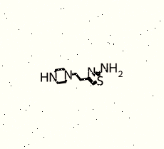 Nc1nc(CCN2CCNCC2)cs1